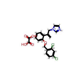 C=C(Cn1ccnc1)c1ccccc1OCc1ccc(Cl)cc1Cl.O=C(O)C(=O)O